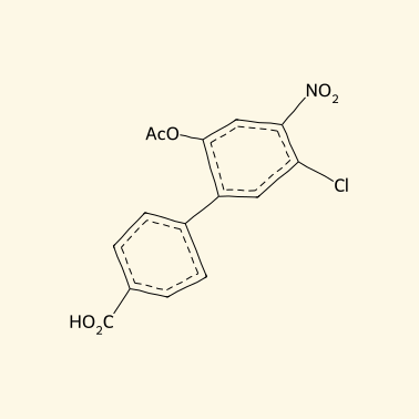 CC(=O)Oc1cc([N+](=O)[O-])c(Cl)cc1-c1ccc(C(=O)O)cc1